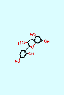 Oc1ccc(C2Oc3cc(O)cc(O)c3CC2O)c(O)c1